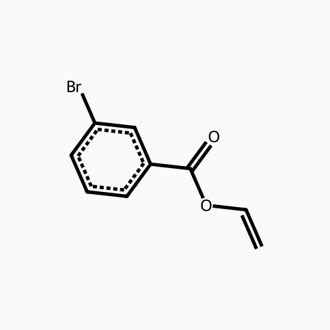 C=COC(=O)c1cccc(Br)c1